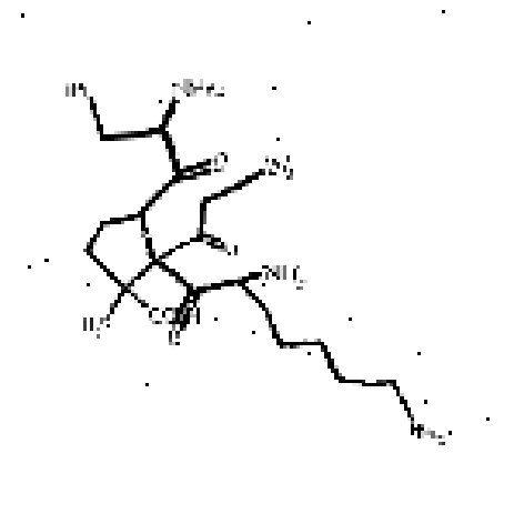 CC(=O)NC(CC(C)C)C(=O)C1CCC(N)(C(=O)O)C1(C(=O)CN)C(=O)C(N)CCCCN